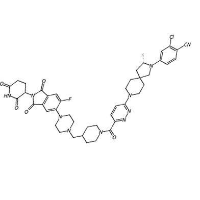 C[C@H]1CC2(CCN(c3ccc(C(=O)N4CCC(CN5CCN(c6cc7c(cc6F)C(=O)N(C6CCC(=O)NC6=O)C7=O)CC5)CC4)nn3)CC2)CN1c1ccc(C#N)c(Cl)c1